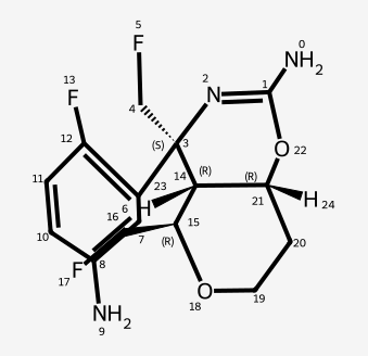 NC1=N[C@](CF)(c2cc(N)ccc2F)[C@H]2[C@H](CF)OCC[C@H]2O1